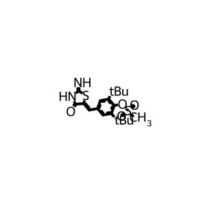 CC(C)(C)c1cc(/C=C2\SC(=N)NC2=O)cc(C(C)(C)C)c1OS(C)(=O)=O